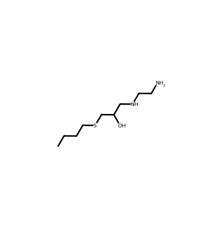 CCCCSCC(O)CNCCN